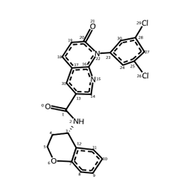 O=C(N[C@H]1CCOc2ccccc21)c1cnc2c(ccc(=O)n2-c2cc(Cl)cc(Cl)c2)c1